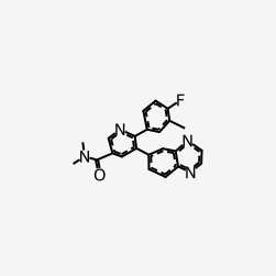 Cc1cc(-c2ncc(C(=O)N(C)C)cc2-c2ccc3nccnc3c2)ccc1F